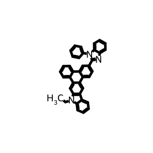 CCn1c2ccccc2c2cc3c4ccc(-c5nc6ccccc6n5-c5ccccc5)cc4c4ccccc4c3cc21